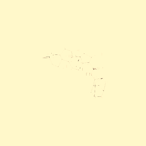 CC1C[C@H]2[C@@H]3CCC4NC(=O)CC[C@]4(C)[C@@H]3CC[C@]2(C)C1C(=O)NC1C2CC3CC(C2)CC1C3